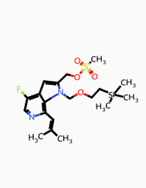 CC(C)=Cc1ncc(F)c2cc(COS(C)(=O)=O)n(COCC[Si](C)(C)C)c12